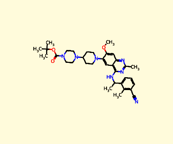 COc1cc2nc(C)nc(NC(C)c3cccc(C#N)c3C)c2cc1N1CCC(N2CCN(C(=O)OC(C)(C)C)CC2)CC1